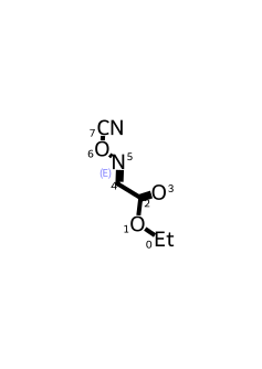 CCOC(=O)/C=N/OC#N